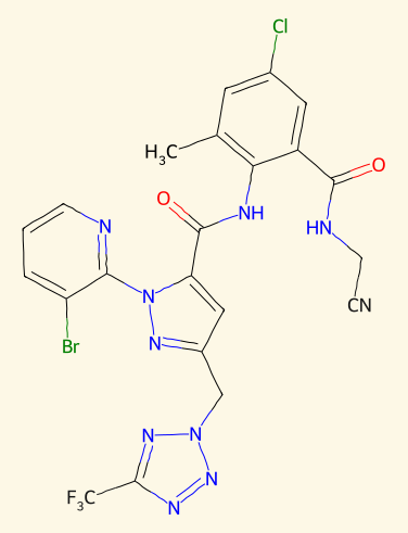 Cc1cc(Cl)cc(C(=O)NCC#N)c1NC(=O)c1cc(Cn2nnc(C(F)(F)F)n2)nn1-c1ncccc1Br